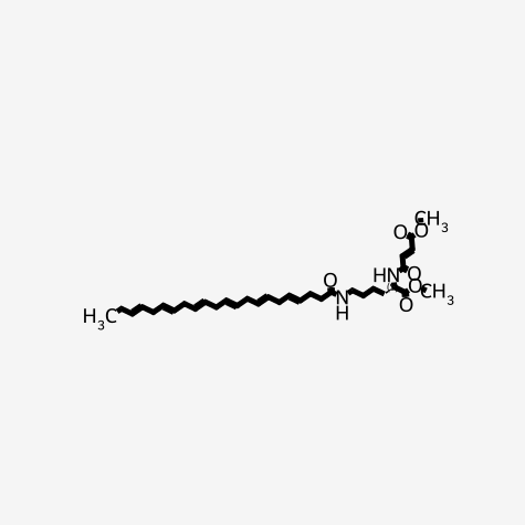 CCC=CCC=CCC=CCC=CCC=CCC=CCCC(=O)NCCCC[C@H](NC(=O)C=CC(=O)OC)C(=O)OC